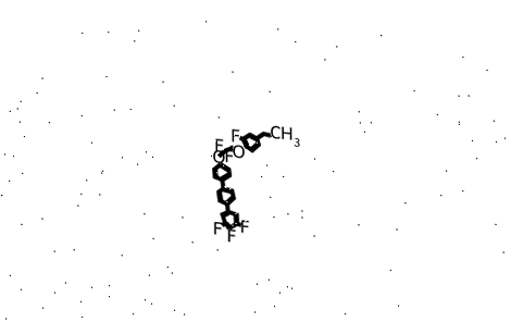 CCCc1ccc(OCC(F)(F)Oc2ccc(-c3ccc(-c4cc(F)c(F)c(F)c4)cc3)cc2)c(F)c1